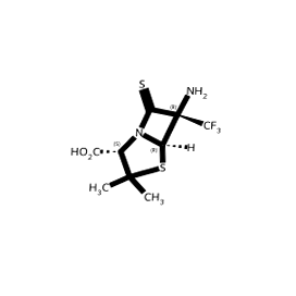 CC1(C)S[C@H]2N(C(=S)[C@@]2(N)C(F)(F)F)[C@H]1C(=O)O